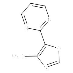 COc1n[c]oc1-c1ncccn1